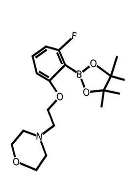 CC1(C)OB(c2c(F)cccc2OCCN2CCOCC2)OC1(C)C